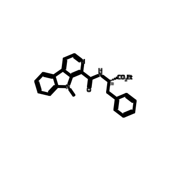 CCOC(=O)[C@H](Cc1ccccc1)NC(=O)c1nccc2c3ccccc3n(C)c12